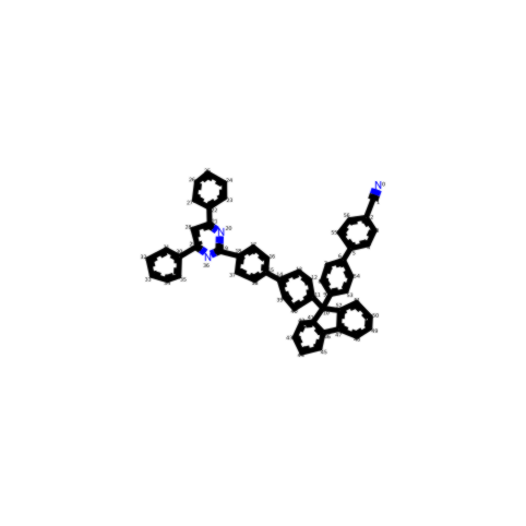 N#Cc1ccc(-c2ccc(C3(c4ccc(-c5ccc(-c6nc(-c7ccccc7)cc(-c7ccccc7)n6)cc5)cc4)c4ccccc4-c4ccccc43)cc2)cc1